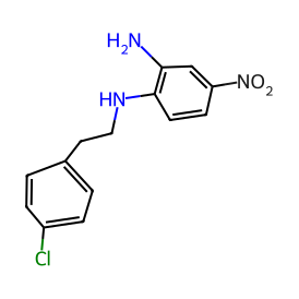 Nc1cc([N+](=O)[O-])ccc1NCCc1ccc(Cl)cc1